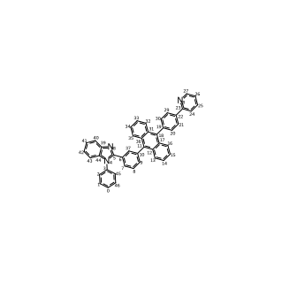 c1ccc(-n2c(-c3cccc(-c4c5ccccc5c(-c5ccc(-c6ccccn6)cc5)c5ccccc45)c3)nc3ccccc32)cc1